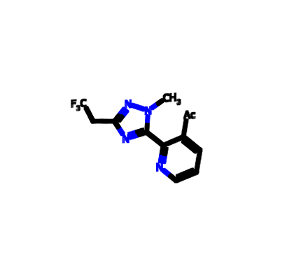 CC(=O)c1cccnc1-c1nc(CC(F)(F)F)nn1C